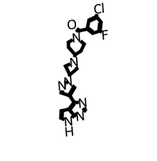 O=C(c1cc(F)cc(Cl)c1)N1CCC(N2CC(n3cc(-c4ncnc5[nH]ccc45)cn3)C2)CC1